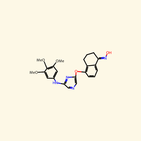 COc1cc(Nc2cncc(Oc3cccc4c3CCCC4=NO)n2)cc(OC)c1OC